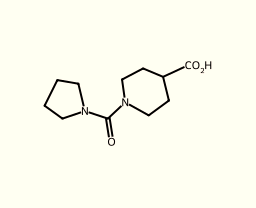 O=C(O)C1CCN(C(=O)N2CCCC2)CC1